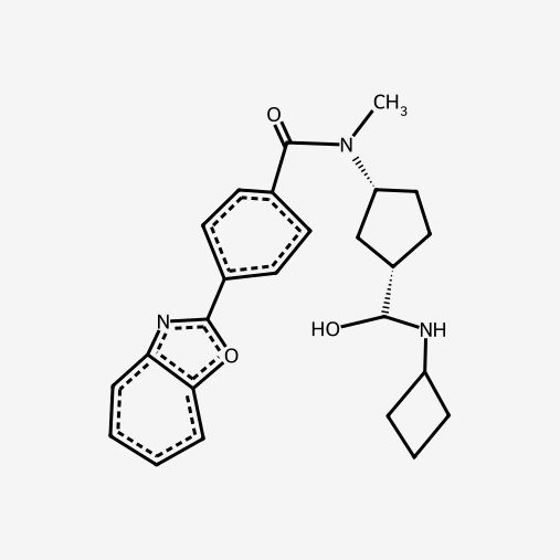 CN(C(=O)c1ccc(-c2nc3ccccc3o2)cc1)[C@@H]1CC[C@H](C(O)NC2CCC2)C1